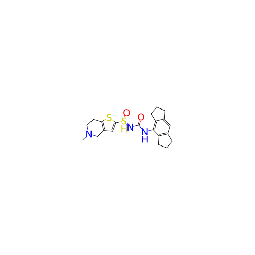 CN1CCc2sc([SH](=O)=NC(=O)Nc3c4c(cc5c3CCC5)CCC4)cc2C1